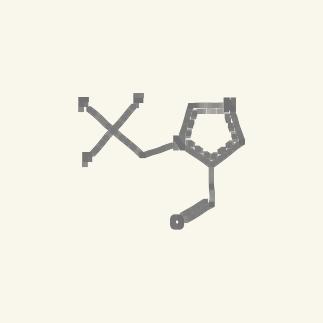 O=Cc1cncn1CC(F)(F)F